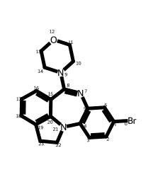 Brc1ccc2c(c1)N=C(N1CCOCC1)c1cccc3c1N2CC3